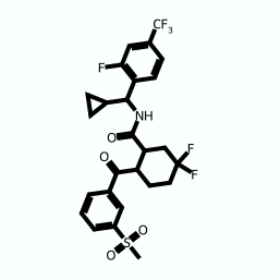 CS(=O)(=O)c1cccc(C(=O)C2CCC(F)(F)CC2C(=O)NC(c2ccc(C(F)(F)F)cc2F)C2CC2)c1